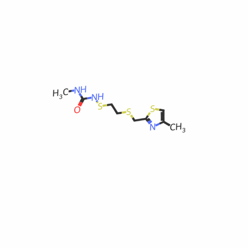 CNC(=O)NSCCSCc1nc(C)cs1